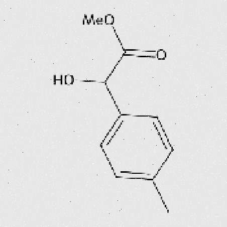 COC(=O)C(O)c1ccc(C)cc1